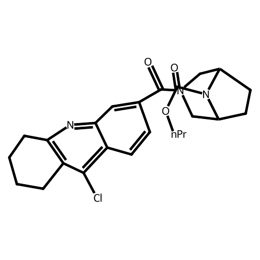 CCCOC(=O)N1C2CCC1CN(C(=O)c1ccc3c(Cl)c4c(nc3c1)CCCC4)C2